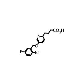 O=C(O)CCCc1ccc(OCc2cc(F)ccc2Br)cn1